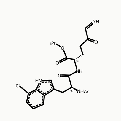 CC(=O)N[C@@H](Cc1c[nH]c2c(Cl)cccc12)C(=O)N[C@@H](CCC(=O)C=N)C(=O)OC(C)C